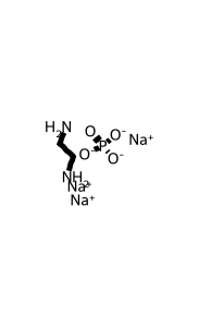 NCCN.O=P([O-])([O-])[O-].[Na+].[Na+].[Na+]